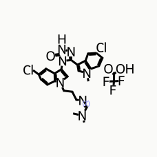 CN(C)/C=N\CCCn1cc(-n2c(-c3cn(C)c4ccc(Cl)cc34)n[nH]c2=O)c2cc(Cl)ccc21.O=C(O)C(F)(F)F